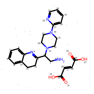 NCC(C1=Nc2ccccc2CC1)N1CCN(c2ccccn2)CC1.O=C(O)/C=C/C(=O)O